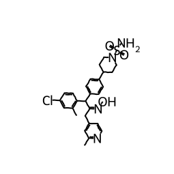 Cc1cc(CC(=NO)C(c2ccc(C3CCN(S(N)(=O)=O)CC3)cc2)c2ccc(Cl)cc2C)ccn1